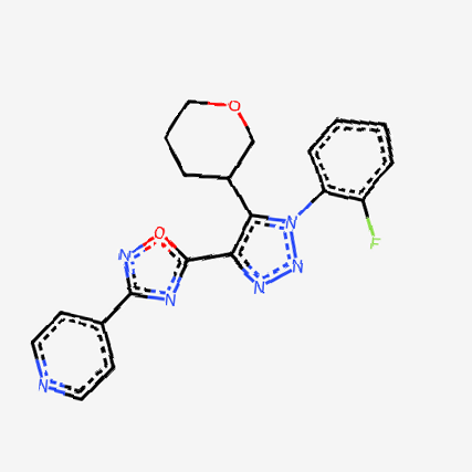 Fc1ccccc1-n1nnc(-c2nc(-c3ccncc3)no2)c1C1CCCOC1